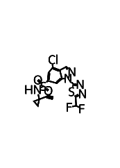 C#CC1(NS(=O)(=O)c2cc(Cl)c3cnn(-c4nnc(C(F)F)s4)c3c2)CC1